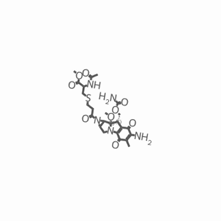 COC(=O)C(CSCCC(=O)N1C2CN3C4=C(C(=O)C(N)=C(C)C4=O)[C@@H](COC(N)=O)[C@@]3(OC)C21)NC(C)=O